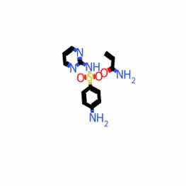 C=CC(N)=O.Nc1ccc(S(=O)(=O)Nc2ncccn2)cc1